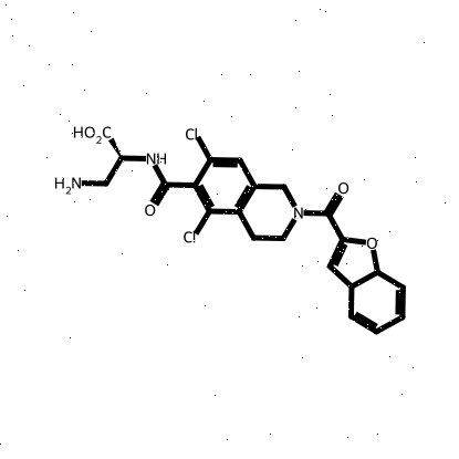 NC[C@H](NC(=O)c1c(Cl)cc2c(c1Cl)CCN(C(=O)C1=CC3C=CC=CC3O1)C2)C(=O)O